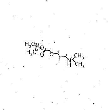 CC(C)NCCCOCC(=O)OC(C)C